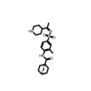 C/C(=N/S(=O)(=O)c1ccc(NC(=O)C23CCC(CC2)CC3)c(C)c1)C1CCNCC1